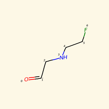 O=[C]CNCCF